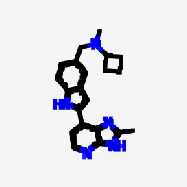 Cc1nc2c(-c3cc4cc(CN(C)C5CCC5)ccc4[nH]3)ccnc2[nH]1